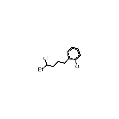 CCC(Cl)CCCc1ccccc1[O]